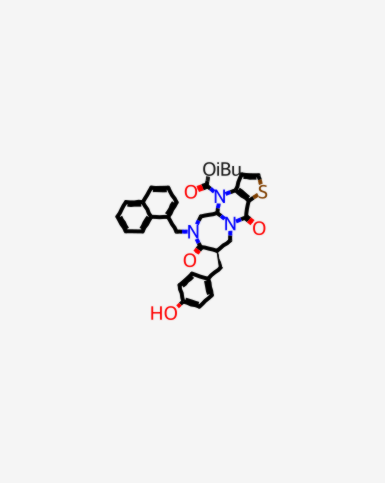 CC(C)COC(=O)N1c2ccsc2C(=O)N2C[C@@H](Cc3ccc(O)cc3)C(=O)N(Cc3cccc4ccccc34)CC21